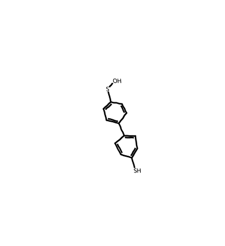 OSc1ccc(-c2ccc(S)cc2)cc1